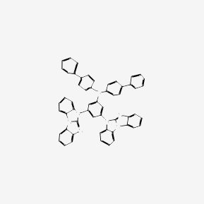 c1ccc(-c2ccc(N(c3ccc(-c4ccccc4)cc3)c3cc(-n4c5ccccc5n5c6ccccc6nc45)cc(-n4c5ccccc5n5c6ccccc6nc45)c3)cc2)cc1